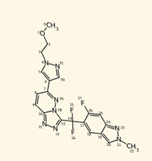 COCCn1cc(-c2ccc3nnc(C(F)(F)c4cc5cn(C)nc5cc4F)n3n2)cn1